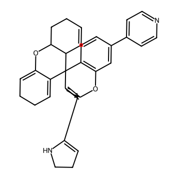 C1=CC2C(CC1)OC1=CCCC=C1C21c2ccc(C3=CCCN3)cc2Oc2cc(-c3ccncc3)ccc21